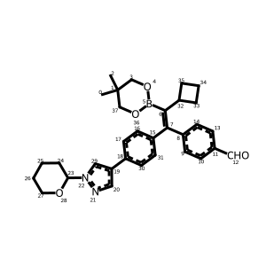 CC1(C)COB(C(=C(c2ccc(C=O)cc2)c2ccc(-c3cnn(C4CCCCO4)c3)cc2)C2CCC2)OC1